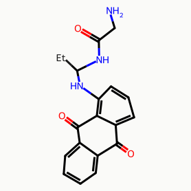 CCC(NC(=O)CN)Nc1cccc2c1C(=O)c1ccccc1C2=O